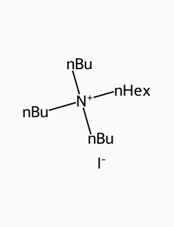 CCCCCC[N+](CCCC)(CCCC)CCCC.[I-]